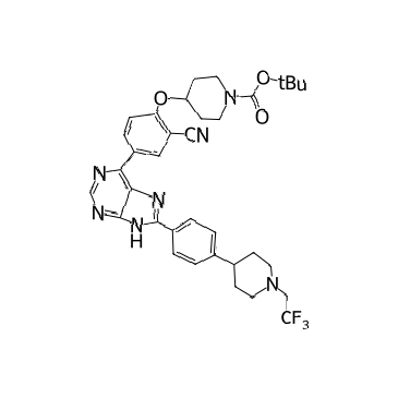 CC(C)(C)OC(=O)N1CCC(Oc2ccc(-c3ncnc4[nH]c(-c5ccc(C6CCN(CC(F)(F)F)CC6)cc5)nc34)cc2C#N)CC1